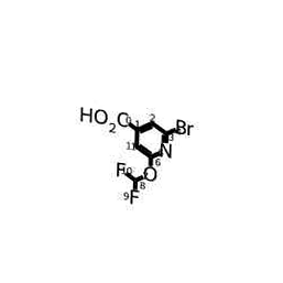 O=C(O)c1cc(Br)nc(OC(F)F)c1